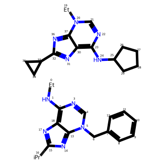 CCNc1ncn(Cc2ccccc2)c2nc(C(C)C)nc1-2.CCn1cnc(NC2CCCC2)c2nc(C3CC3)nc1-2